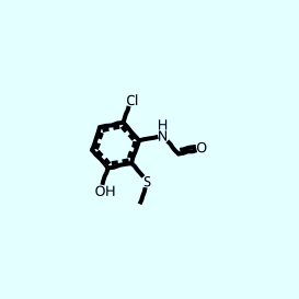 CSc1c(O)ccc(Cl)c1NC=O